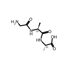 C[C@H](NC(=O)[C@H](C)NC(=O)CN)C(=O)O